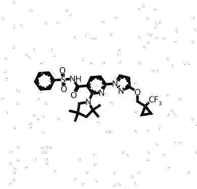 CC1(C)CN(c2nc(-n3ccc(OCC4(C(F)(F)F)CC4)n3)ccc2C(=O)NS(=O)(=O)c2ccccc2)C(C)(C)C1